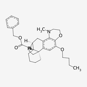 CCCCOc1cc2c(c3c1OCCN3C)C[C@H]1[C@H]3CCCC[C@@]23CCN1C(=O)OCc1ccccc1